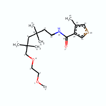 CCOCCOCC(C)(C)CC(C)(C)CCNC(=O)c1cscc1C